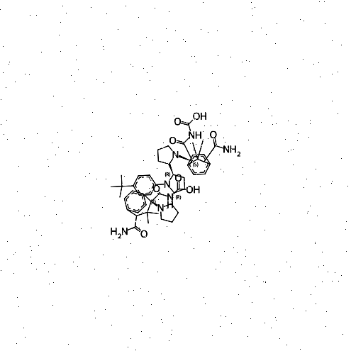 CC(C)(C)c1ccc(N2[C@@H](C3CCCN3[C@]3(C(=O)NC(=O)O)c4ccc(cc4)C(C(N)=O)C3(C)C)CC[C@@H]2C2CCCN2[C@]2(C(=O)NC(=O)O)c3ccc(cc3)C(C(N)=O)C2(C)C)cc1